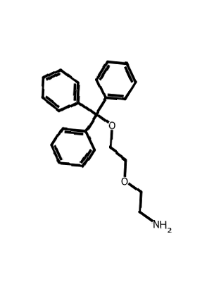 NCCOCCOC(c1ccccc1)(c1ccccc1)c1ccccc1